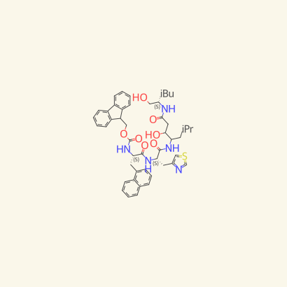 CCC(C)[C@@H](CO)NC(=O)CC(O)C(CC(C)C)NC(=O)[C@H](Cc1cscn1)NC(=O)[C@H](Cc1cccc2ccccc12)NC(=O)OCC1c2ccccc2-c2ccccc21